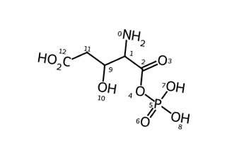 NC(C(=O)OP(=O)(O)O)C(O)CC(=O)O